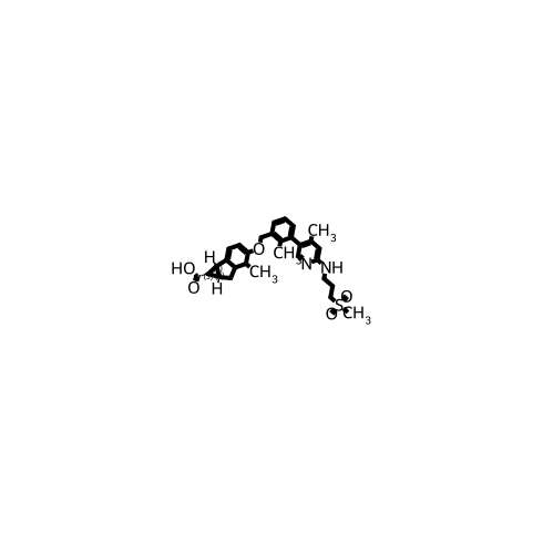 Cc1cc(NCCCS(C)(=O)=O)ncc1-c1cccc(COC2=CC=C3C(C[C@H]4[C@H](C(=O)O)[C@@H]34)C2C)c1C